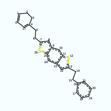 C1=CCCC(CCc2cc3cc4sc(CCc5ccccc5)cc4cc3s2)=C1